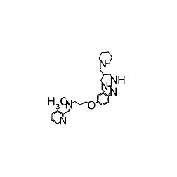 CN(CCCOc1ccc2nc3n(c2c1)CC(CN1CCCCC1)CN3)Cc1ccccn1